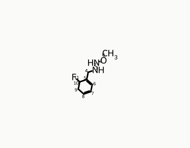 CONNCC1=CC=CCC1F